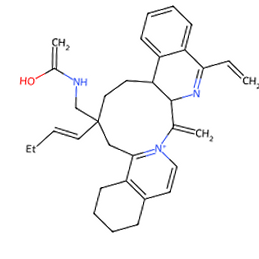 C=CC1=NC2C(=C)[n+]3ccc4c(c3CC(C=CCC)(CNC(=C)O)CCC2c2ccccc21)CCCC4